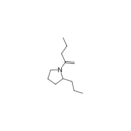 C=C(CCC)N1CCCC1CCC